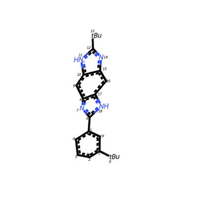 CC(C)(C)c1cccc(-c2nc3cc4[nH]c(C(C)(C)C)nc4cc3[nH]2)c1